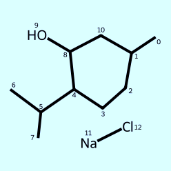 CC1CCC(C(C)C)C(O)C1.[Na][Cl]